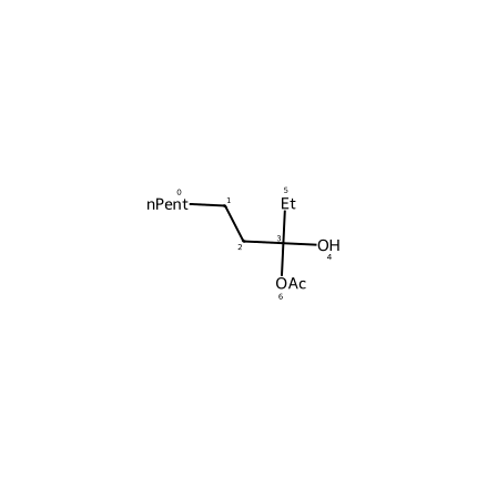 CCCCCCCC(O)(CC)OC(C)=O